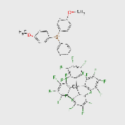 COc1ccc([S+](c2ccccc2)c2ccc(OC)cc2)cc1.Fc1c(F)c(F)[c]([Ga-]([c]2c(F)c(F)c(F)c(F)c2F)([c]2c(F)c(F)c(F)c(F)c2F)[c]2c(F)c(F)c(F)c(F)c2F)c(F)c1F